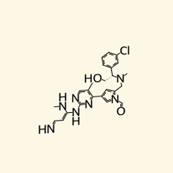 CN/C(=C\C=N)Nc1ncc(C)c(-c2cc(CN(C)[C@H](CO)c3cccc(Cl)c3)n(C=O)c2)n1